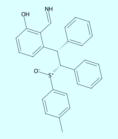 Cc1ccc([S+]([O-])[C@@H](c2ccccc2)[C@@H](c2ccccc2)c2cccc(O)c2C=N)cc1